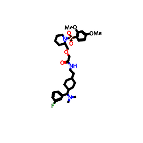 COc1ccc(S(=O)(=O)N2CCCCC2COCC(=O)NCCC2CCC(C(c3cccc(F)c3)N(C)C)CC2)c(OC)c1